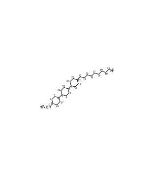 CCCCCCCCCC1CCC(C2CCC(C3CCC(CCCCCCCCCF)CC3)CC2)CC1